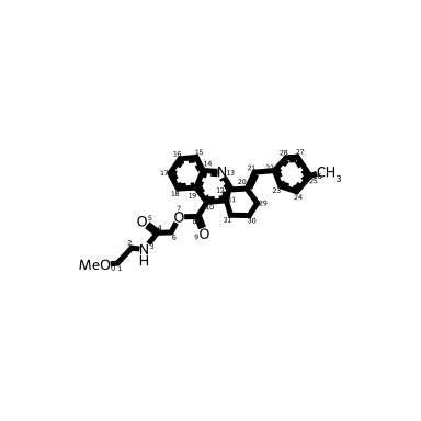 COCCNC(=O)COC(=O)c1c2c(nc3ccccc13)/C(=C/c1ccc(C)cc1)CCC2